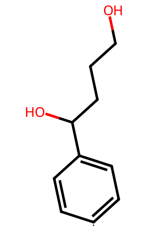 OCCCC(O)c1cc[c]cc1